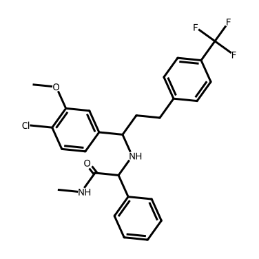 CNC(=O)C(NC(CCc1ccc(C(F)(F)F)cc1)c1ccc(Cl)c(OC)c1)c1ccccc1